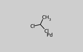 CC(Cl)Cl.[Pd]